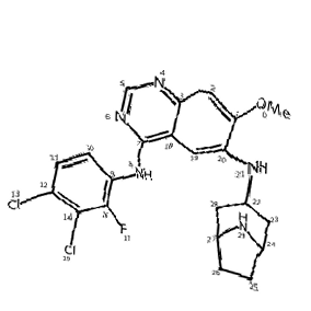 COc1cc2ncnc(Nc3ccc(Cl)c(Cl)c3F)c2cc1NC1CC2CCC(C1)N2